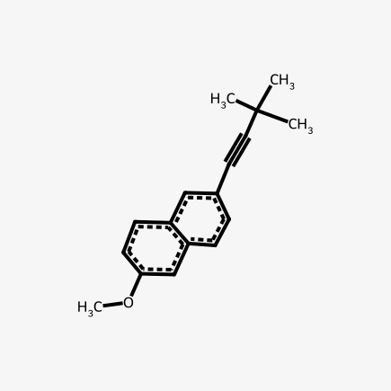 COc1ccc2cc(C#CC(C)(C)C)ccc2c1